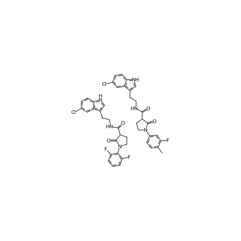 Cc1ccc(N2CCC(C(=O)NCCc3c[nH]c4ccc(Cl)cc34)C2=O)cc1F.O=C(NCCc1c[nH]c2ccc(Cl)cc12)C1CCN(c2c(F)cccc2F)C1=O